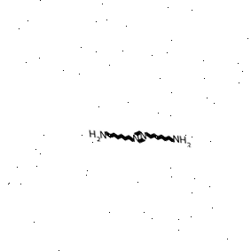 NCCCCCCCCN1CCN(CCCCCCCCN)CC1